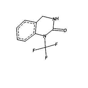 O=C1NCc2ccccc2N1C(F)(F)F